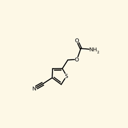 N#Cc1csc(COC(N)=O)c1